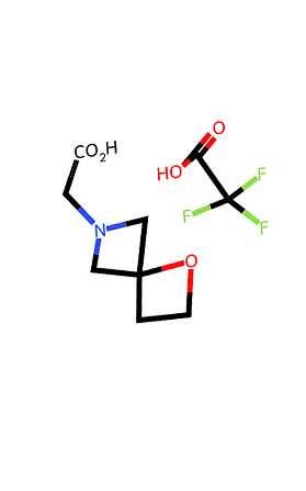 O=C(O)C(F)(F)F.O=C(O)CN1CC2(CCO2)C1